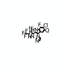 COc1cc2c(-n3ccnc3)c(-c3nnc(C(F)(F)F)[nH]3)[nH]c2c(F)c1Cl